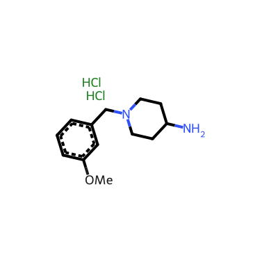 COc1cccc(CN2CCC(N)CC2)c1.Cl.Cl